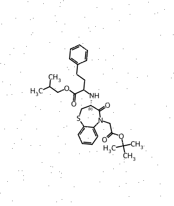 CC(C)COC(=O)C(CCc1ccccc1)N[C@H]1CSc2ccccc2N(CC(=O)OC(C)(C)C)C1=O